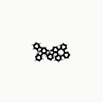 c1ccc2c(c1)-c1ccccc1-c1ccc3c(c1-c1ccccc1-2)c1cccc2c4c5c6ccccc6n6c7ccccc7c(cc4n3c12)c56